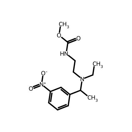 CCN(CCNC(=O)OC)C(C)c1cccc([N+](=O)[O-])c1